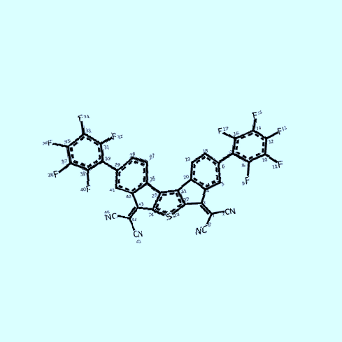 N#CC(C#N)=C1c2cc(-c3c(F)c(F)c(F)c(F)c3F)ccc2-c2c1sc1c2-c2ccc(-c3c(F)c(F)c(F)c(F)c3F)cc2C1=C(C#N)C#N